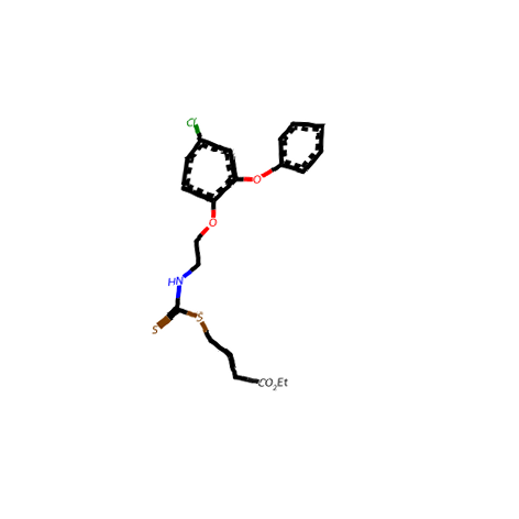 CCOC(=O)CCCSC(=S)NCCOc1ccc(Cl)cc1Oc1ccccc1